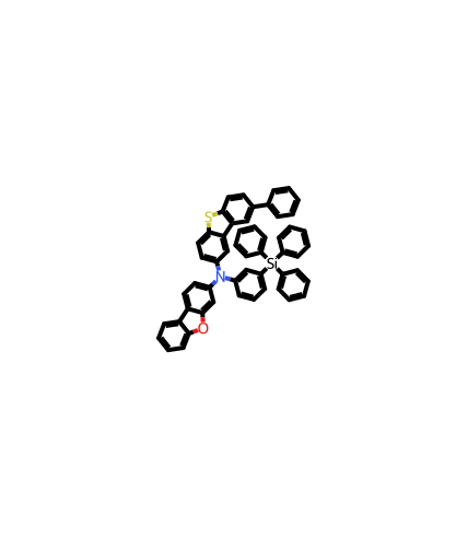 c1ccc(-c2ccc3sc4ccc(N(c5cccc([Si](c6ccccc6)(c6ccccc6)c6ccccc6)c5)c5ccc6c(c5)oc5ccccc56)cc4c3c2)cc1